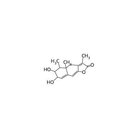 CC1=C2CC3(C)C(=CC(O)C(O)C3C)C=C2OC1=O